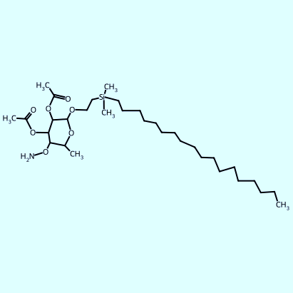 CCCCCCCCCCCCCCCCCC[Si](C)(C)CCOC1OC(C)C(ON)C(OC(C)=O)C1OC(C)=O